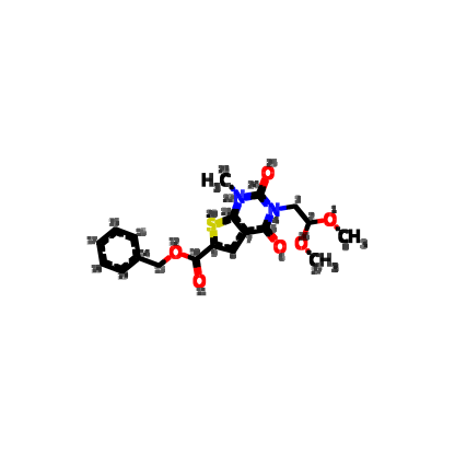 COC(Cn1c(=O)c2cc(C(=O)OCc3ccccc3)sc2n(C)c1=O)OC